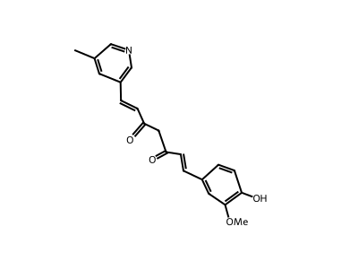 COc1cc(/C=C/C(=O)CC(=O)/C=C/c2cncc(C)c2)ccc1O